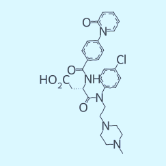 CN1CCN(CCN(C(=O)[C@H](CC(=O)O)NC(=O)c2ccc(-n3ccccc3=O)cc2)c2ccc(Cl)cc2)CC1